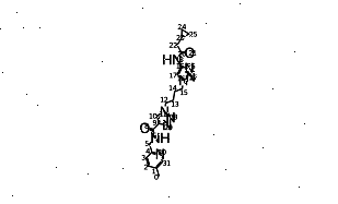 Cc1ccc(CNC(=O)c2cn(CCCCn3cc(NC(=O)CC4CC4)nn3)nn2)nc1